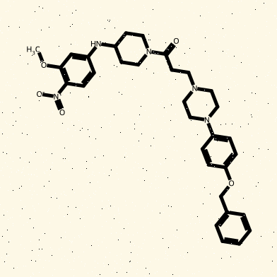 COc1cc(NC2CCN(C(=O)CCN3CCN(c4ccc(OCc5ccccc5)cc4)CC3)CC2)ccc1[N+](=O)[O-]